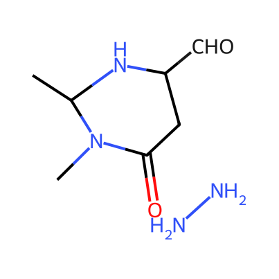 CC1NC(C=O)CC(=O)N1C.NN